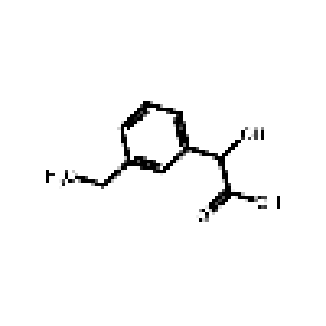 CCc1cccc(C(O)C(=O)O)c1